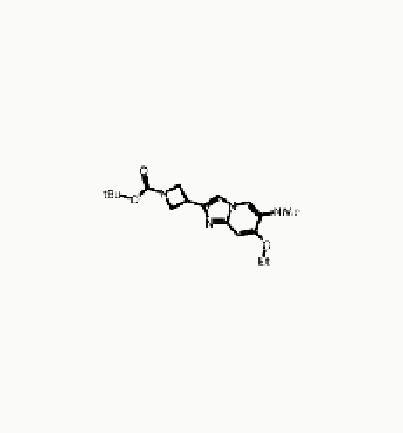 CCOc1cc2nc(C3CN(C(=O)OC(C)(C)C)C3)cn2cc1NC